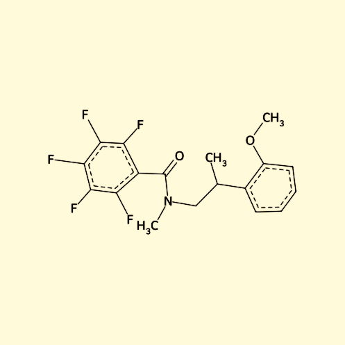 COc1ccccc1C(C)CN(C)C(=O)c1c(F)c(F)c(F)c(F)c1F